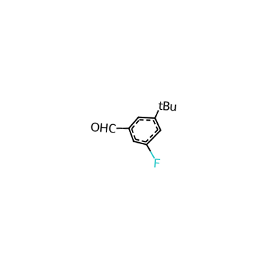 CC(C)(C)c1cc(F)cc(C=O)c1